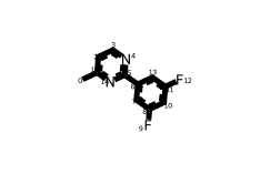 Cc1ccnc(-c2cc(F)cc(F)c2)n1